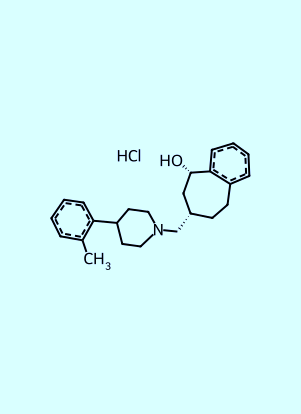 Cc1ccccc1C1CCN(C[C@H]2CCc3ccccc3[C@@H](O)C2)CC1.Cl